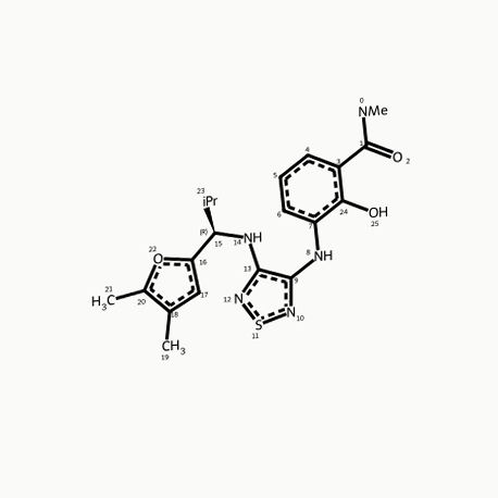 CNC(=O)c1cccc(Nc2nsnc2N[C@@H](c2cc(C)c(C)o2)C(C)C)c1O